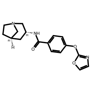 O=C(N[C@@H]1C[C@H]2CCN(C2)C1)c1ccc(Oc2ncco2)cc1